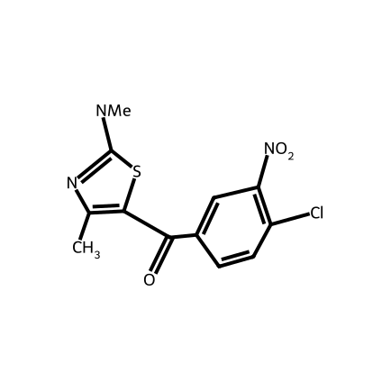 CNc1nc(C)c(C(=O)c2ccc(Cl)c([N+](=O)[O-])c2)s1